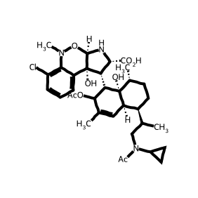 CC(=O)OC1C(C)=C[C@@H]2[C@H](C(C)CN(C(C)=O)C3CC3)CC[C@@H](C)[C@]2(O)C1[C@H]1[C@@H](C(=O)O)N[C@@H]2ON(C)c3c(Cl)cccc3[C@@]21O